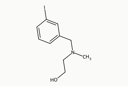 CN(CCO)Cc1cccc(I)c1